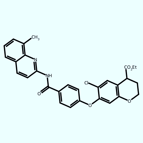 CCOC(=O)C1CCOc2cc(Oc3ccc(C(=O)Nc4ccc5cccc(C)c5n4)cc3)c(Cl)cc21